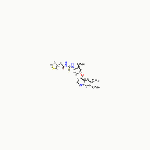 COc1cc(Oc2ccnc3cc(OC)c(OC)cc23)ccc1NC(=S)NC(=O)CC1=CSCC1